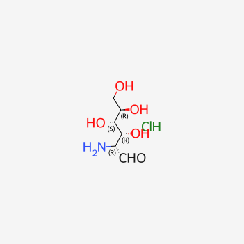 Cl.N[C@@H](C=O)[C@@H](O)[C@H](O)[C@H](O)CO